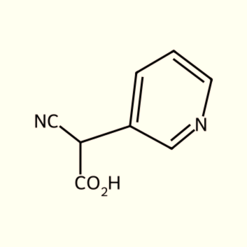 N#CC(C(=O)O)c1cccnc1